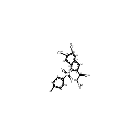 Cc1ccc(S(=O)(=O)n2c(C(=O)CC#N)cc3cc(Cl)c(Cl)cc32)cc1